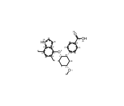 CO[C@@H]1CC[C@H](Oc2c(C)cc(C)c3[nH]ccc23)[C@H](c2ccc(C(=O)O)cc2)C1